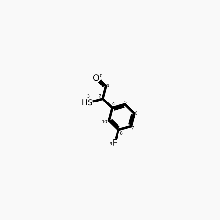 O=[C]C(S)c1cccc(F)c1